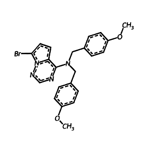 COc1ccc(CN(Cc2ccc(OC)cc2)c2ncnn3c(Br)ccc23)cc1